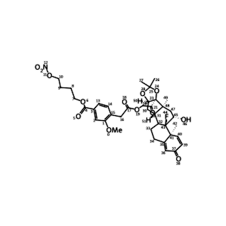 COc1cc(C(=O)OCCCCO[N+](=O)[O-])ccc1CC(=O)OCC(=O)[C@@]12OC(C)(C)O[C@@H]1C[C@H]1C3CCC4=CC(=O)C=C[C@]4(C)[C@@]3(F)[C@@H](O)C[C@@]12C